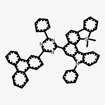 C[Si]1(C)c2ccccc2-c2ccc3c(-c4nc(-c5ccccc5)nc(-c5ccc6c7ccccc7c7ccccc7c6c5)n4)cc4c(c5ccccc5n4-c4ccccc4)c3c21